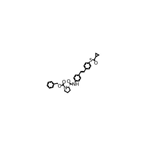 O=C(Sc1ccc(/C=C/c2ccc(NC(=O)[C@@H]3CCCN3C(=O)OCc3ccccc3)cc2)cc1)C1CC1